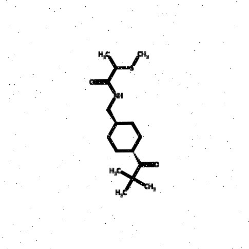 CSC(C)C(=O)NC[C@H]1CC[C@H](C(=O)C(C)(C)C)CC1